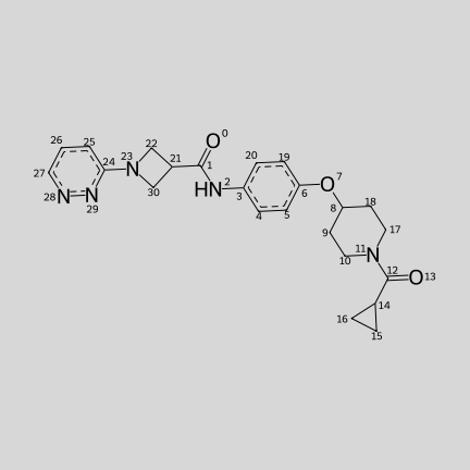 O=C(Nc1ccc(OC2CCN(C(=O)C3CC3)CC2)cc1)C1CN(c2cccnn2)C1